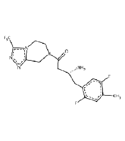 Cc1cc(F)c(C[C@@H](N)CC(=O)N2CCn3c(nnc3C(F)(F)F)C2)cc1F